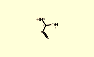 C=CC([NH])O